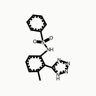 Cc1cccc(NS(=O)(=O)c2ccccc2)c1-c1nnn[nH]1